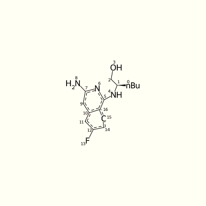 CCCC[C@H](CO)Nc1nc(N)cc2cc(F)ccc12